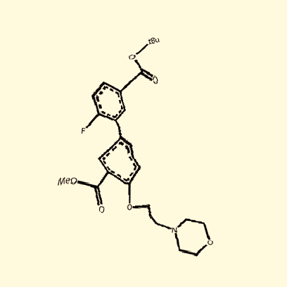 COC(=O)c1cc(-c2cc(C(=O)OC(C)(C)C)ccc2F)ccc1OCCN1CCOCC1